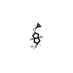 C[C@@]1(N)C[C@H]2C[C@@H](OC3CC3)C[C@H]2C1